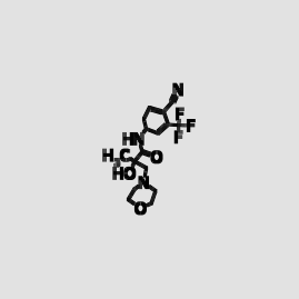 CC(O)(CN1CCOCC1)C(=O)NC1C=C(C(F)(F)F)C(C#N)=CC1